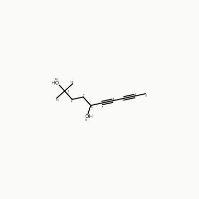 CC#CC#CC(O)CCC(C)(C)O